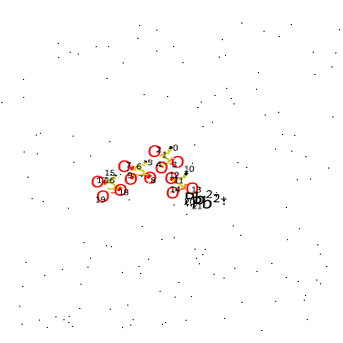 CS(=O)(=O)[O-].CS(=O)(=O)[O-].CS(=O)(=O)[O-].CS(=O)(=O)[O-].[Pb+2].[Pb+2]